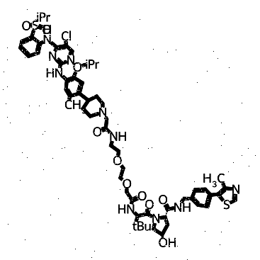 Cc1cc(Nc2ncc(Cl)c(Nc3ccccc3S(=O)(=O)C(C)C)n2)c(OC(C)C)cc1C1CCN(CC(=O)NCCOCCOCC(=O)NC(C(=O)N2C[C@H](O)C[C@H]2C(=O)NCc2ccc(-c3scnc3C)cc2)C(C)(C)C)CC1